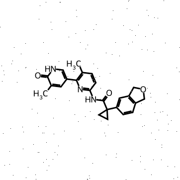 Cc1ccc(NC(=O)C2(c3ccc4c(c3)COC4)CC2)nc1-c1c[nH]c(=O)c(C)c1